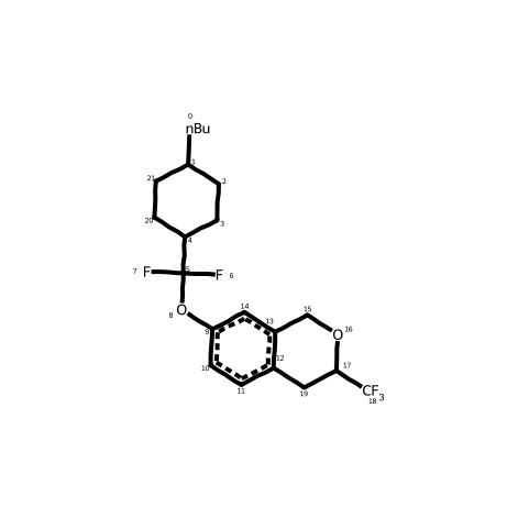 CCCCC1CCC(C(F)(F)Oc2ccc3c(c2)COC(C(F)(F)F)C3)CC1